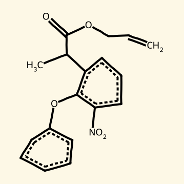 C=CCOC(=O)C(C)c1cccc([N+](=O)[O-])c1Oc1ccccc1